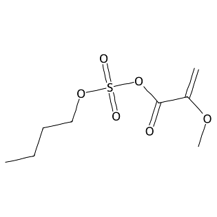 C=C(OC)C(=O)OS(=O)(=O)OCCCC